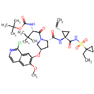 C=C[C@@H]1C[C@]1(NC(=O)[C@@H]1C[C@@H](Oc2cc3c(Cl)nccc3cc2OC)CN1C(=O)[C@@H](NC(=O)OC(C)(C)C)C(C)(C)C)C(=O)NS(=O)(=O)C1(CC)CC1